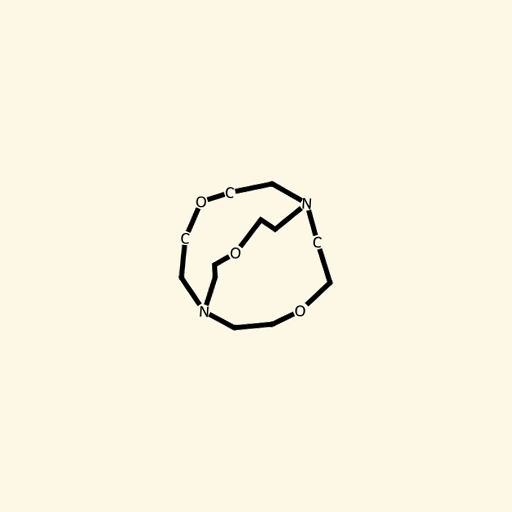 C1CN2CCOCCN(CCO1)CCOCC2